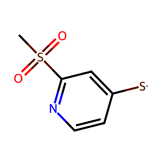 CS(=O)(=O)c1cc([S])ccn1